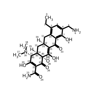 CCc1cc(CN)c(O)c2c1C[C@@H]1C[C@@H]3[C@@H](N(C)C)C(O)=C(C(N)=O)C(=O)[C@]3(O)C(O)=C1C2=O